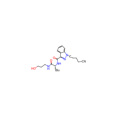 CC(C)(C)[C@H](NC(=O)c1nn(CCCCC#N)c2ccccc12)C(=O)NCCCO